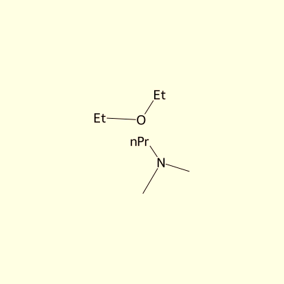 CCCN(C)C.CCOCC